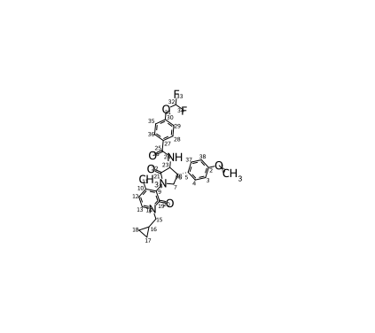 COc1ccc([C@@H]2CN(c3c(C)ccn(CC4CC4)c3=O)C(=O)C2NC(=O)c2ccc(OC(F)F)cc2)cc1